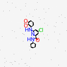 O=C(Nc1ccccc1)c1cc(Cl)cc(Nc2cccc3c2OCO3)n1